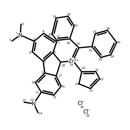 CN(C)c1ccc2c(c1)-c1cc(N(C)C)ccc1[CH]2[Zr+2]([C]1=CC=CC1)=[C](c1ccccc1)c1ccccc1.[Cl-].[Cl-]